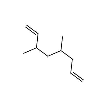 C=CCC(C)[CH]C(C)C=C